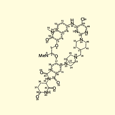 CNC(=O)COc1cc2cc(Nc3nc(N4CCC(CN5CC6CC5CN6c5ccc6c(c5)C(=O)N(C5CCC(=O)NC5=O)C6=O)CC4)ncc3Cl)ccc2n(C)c1=O